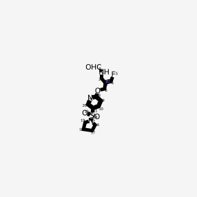 O=CNC/C(=C\F)COc1ccc(S(=O)(=O)N2CCCC2)cn1